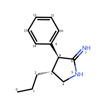 CCC[C@H]1CNC(=N)[C@@H]1c1ccccc1